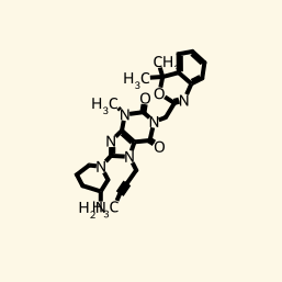 CC#CCn1c(N2CCCC(N)C2)nc2c1c(=O)n(CC1=Nc3ccccc3C(C)(C)O1)c(=O)n2C